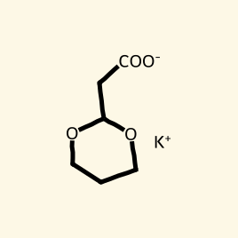 O=C([O-])CC1OCCCO1.[K+]